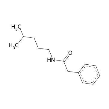 CC(C)CCCNC(=O)Cc1ccccc1